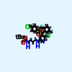 CC(C)(C)OC(=O)NCCCNc1cc(C(c2cc(F)ccc2F)S(=O)(=O)c2ccc(Cl)cc2)c(Cl)cn1